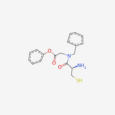 N[C@@H](CS)C(=O)N(CC(=O)Oc1ccccc1)Cc1ccccc1